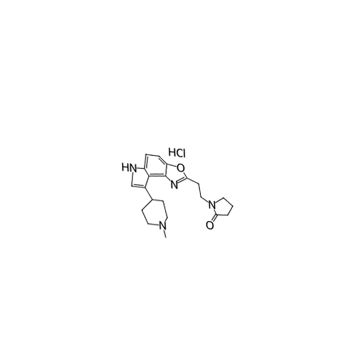 CN1CCC(c2c[nH]c3ccc4oc(CCN5CCCC5=O)nc4c23)CC1.Cl